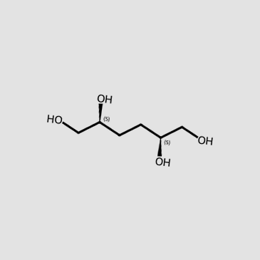 OC[C@@H](O)CC[C@H](O)CO